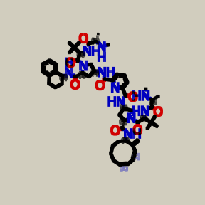 C=C1/C=C\C=C/CCCC[C@H]1NC(=O)[C@@H]1C[C@H](NC(=O)c2cccc(C(=O)N[C@H]3C[C@@H](C(=O)N[C@@H]4CCCc5ccccc54)N(C(=O)[C@@H](NC(=O)[C@H](C)NC)C(C)(C)C)C3)n2)CN1C(=O)[C@@H](NC(=O)[C@H](C)NC)C(C)(C)C